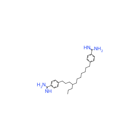 CCCC(CCCCCCCc1ccc(C(=N)N)cc1)CCCc1ccc(C(=N)N)cc1